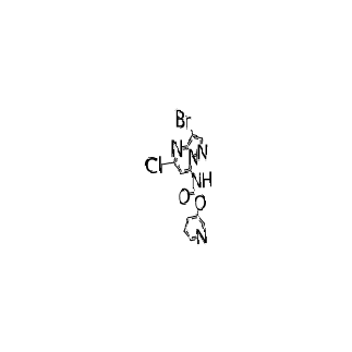 O=C(Nc1cc(Cl)nc2c(Br)cnn12)Oc1cccnc1